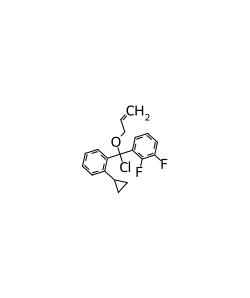 C=CCOC(Cl)(c1ccccc1C1CC1)c1cccc(F)c1F